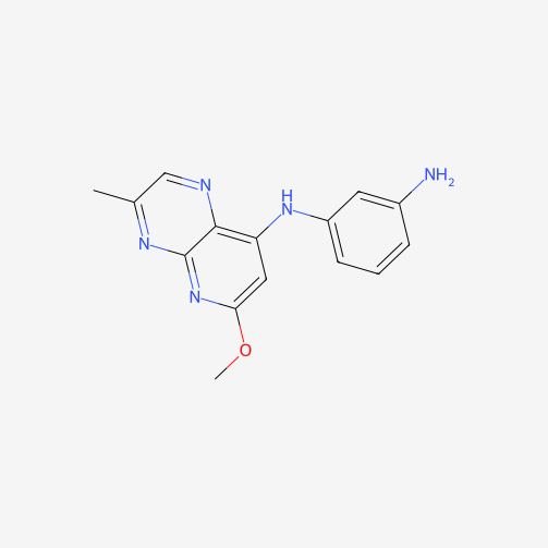 COc1cc(Nc2cccc(N)c2)c2ncc(C)nc2n1